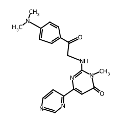 CN(C)c1ccc(C(=O)CNc2nc(-c3ccncn3)cc(=O)n2C)cc1